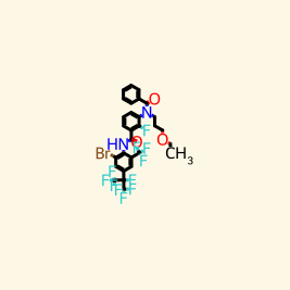 CCOCCCN(C(=O)c1ccccc1)c1cccc(C(=O)Nc2c(Br)cc(C(F)(C(F)(F)F)C(F)(F)F)cc2C(F)(F)F)c1F